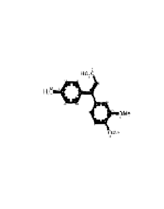 COc1ccc(C(=CC(=O)O)c2ccc(C)cc2)cc1OC